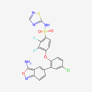 Nc1onc2ccc(-c3cc(Cl)ccc3Oc3ccc(S(=O)(=O)Nc4ncns4)c(F)c3F)cc12